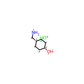 Cl.NC[C@H]1CC[C@@H](O)CC1